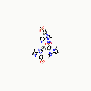 Cc1cccc(-c2nc(C(F)(F)F)cn2-c2ccc(S(N)(=O)=O)cc2)n1.Cc1ccncc1-c1nc(C(F)(F)F)cn1-c1ccc(S(C)(=O)=O)cc1.Cc1cn(-c2ccc(S(C)(=O)=O)cc2)c(-c2cccnc2)n1